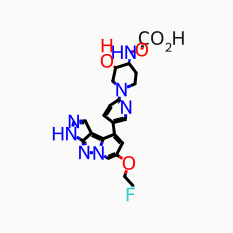 O=C(O)ON[C@H]1CCN(c2ccc(-c3cc(OCCF)cn4nc5[nH]ncc5c34)cn2)C[C@H]1O